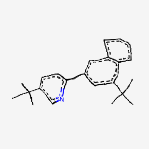 CC(C)(C)c1ccc(-c2cc(C(C)(C)C)c3ccccc3c2)nc1